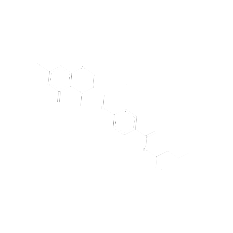 CN1c2c(nc(N)[nH]c2=O)NC[C@@H]1CNc1ccc(C(=O)NC(CCC(=O)[O-])C(=O)[O-])cc1.[Zn+2]